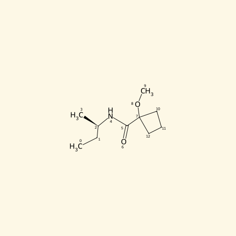 CC[C@@H](C)NC(=O)C1(OC)CCC1